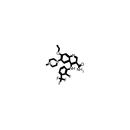 CCOc1cc2ncc(C(N)=O)c(Nc3cccc(C(F)(F)F)c3F)c2cc1N1CCN(C)CC1